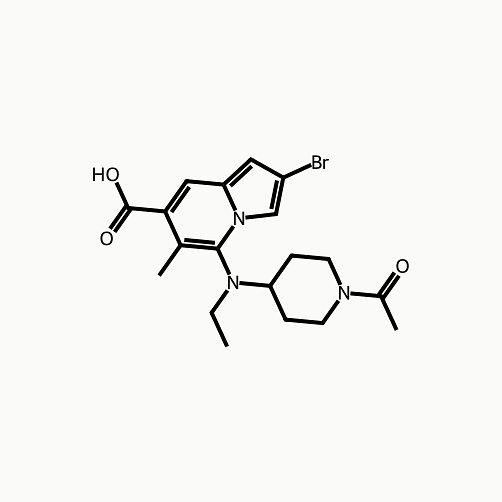 CCN(c1c(C)c(C(=O)O)cc2cc(Br)cn12)C1CCN(C(C)=O)CC1